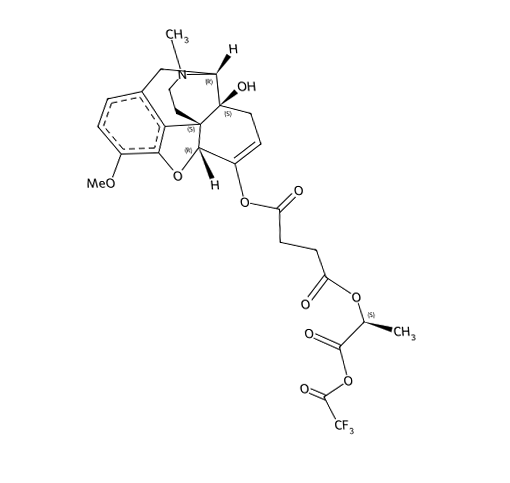 COc1ccc2c3c1O[C@H]1C(OC(=O)CCC(=O)O[C@@H](C)C(=O)OC(=O)C(F)(F)F)=CC[C@@]4(O)[C@@H](C2)N(C)CC[C@]314